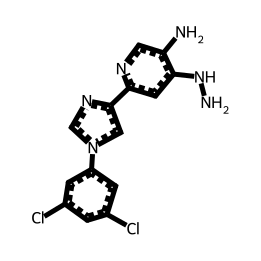 NNc1cc(-c2cn(-c3cc(Cl)cc(Cl)c3)cn2)ncc1N